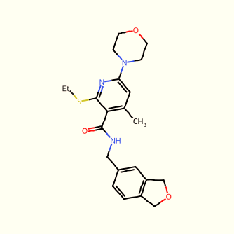 CCSc1nc(N2CCOCC2)cc(C)c1C(=O)NCc1ccc2c(c1)COC2